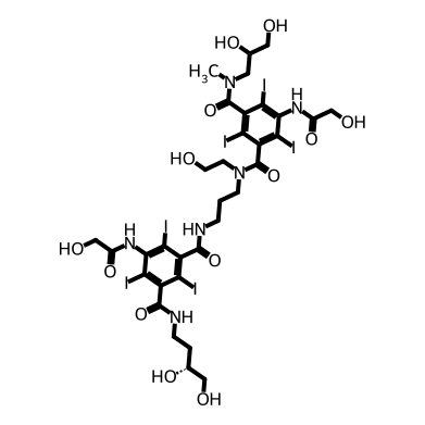 CN(CC(O)CO)C(=O)c1c(I)c(NC(=O)CO)c(I)c(C(=O)N(CCO)CCCNC(=O)c2c(I)c(NC(=O)CO)c(I)c(C(=O)NCC[C@@H](O)CO)c2I)c1I